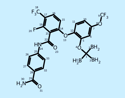 BC(B)(B)Oc1cc(OC(F)(F)F)ccc1Oc1ccc(C(F)(F)F)c(F)c1C(=O)Nc1ccc(C(N)=O)cc1